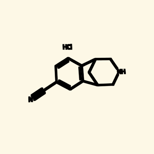 Cl.N#Cc1ccc2c(c1)C1CNCC2C1